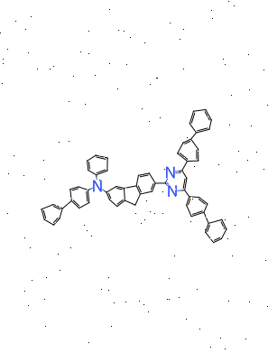 c1ccc(-c2ccc(-c3cc(-c4ccc(-c5ccccc5)cc4)nc(-c4ccc5c(c4)Cc4ccc(N(c6ccccc6)c6ccc(-c7ccccc7)cc6)cc4-5)n3)cc2)cc1